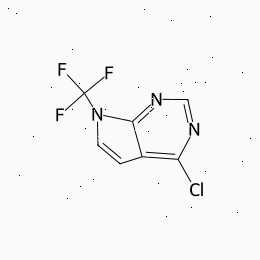 FC(F)(F)n1ccc2c(Cl)ncnc21